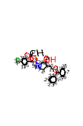 CC(=O)O[C@H](CN1CCC(CCOC(c2ccccc2)c2ccccc2)C(O)C1)c1ccc(F)cc1